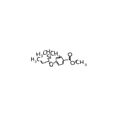 C=CC(Oc1ccc(C(=O)OC)cc1)[SiH](C)C